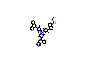 C/C=C\C=C/c1cccc2c(-c3cc(C)c(N(c4cc(C)c(-c5cc6ccccc6c6ccccc56)cc4C)c4cc(C)c(-c5cc6ccccc6c6ccccc56)cc4C)cc3C)cccc12